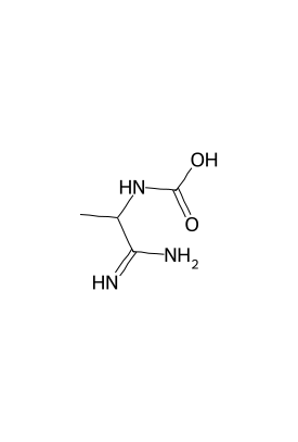 CC(NC(=O)O)C(=N)N